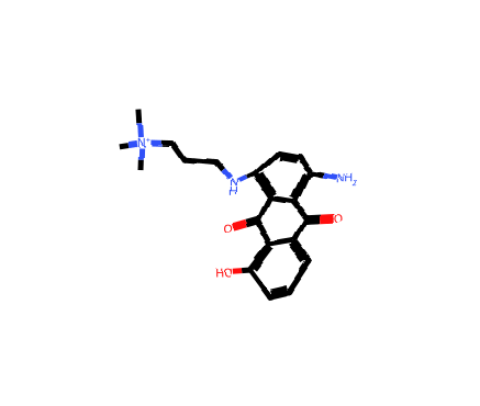 C[N+](C)(C)CCCNc1ccc(N)c2c1C(=O)c1c(O)cccc1C2=O